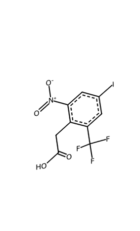 O=C(O)Cc1c([N+](=O)[O-])cc(I)cc1C(F)(F)F